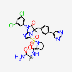 C[C@@H](NC(=O)[C@@H]1CCCN1S(=O)(=O)c1cnc2n1[C@](C)(Cc1ccc(-c3cncnc3)cc1)C(=O)N2c1cc(Cl)cc(Cl)c1)C(N)=O